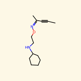 CC#C/C(C)=N\OCCNC1CCCCC1